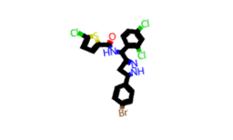 O=C(NC(C1=NNC(c2ccc(Br)cc2)C1)c1ccc(Cl)cc1Cl)c1ccc(Cl)s1